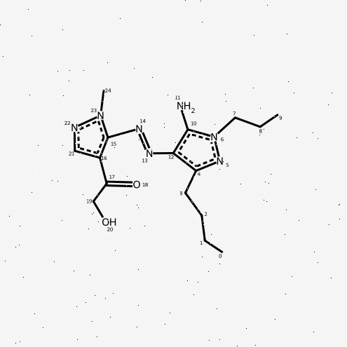 CCCCc1nn(CCC)c(N)c1N=Nc1c(C(=O)CO)cnn1C